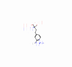 CCc1nn(C)c2ccc(CCC(N)(CO)CO)cc12